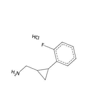 Cl.NCC1CC1c1ccccc1F